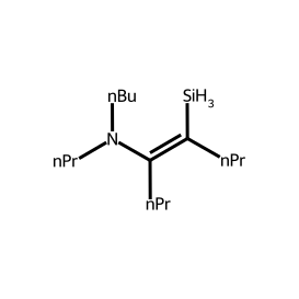 CCCCN(CCC)C(CCC)=C([SiH3])CCC